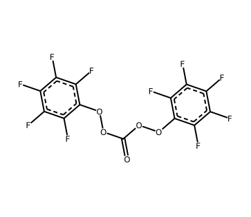 O=C(OOc1c(F)c(F)c(F)c(F)c1F)OOc1c(F)c(F)c(F)c(F)c1F